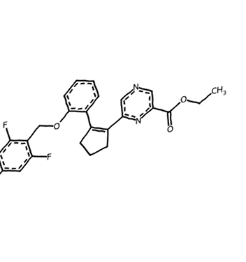 CCOC(=O)c1cncc(C2=C(c3ccccc3OCc3c(F)cc(F)cc3F)CCC2)n1